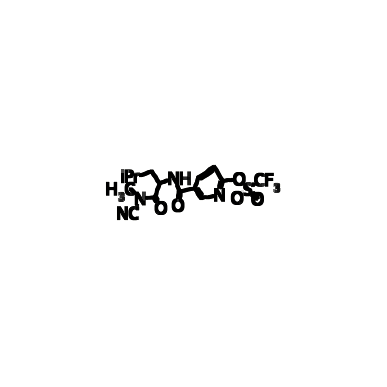 CC(C)CC(NC(=O)c1ccc(OS(=O)(=O)C(F)(F)F)nc1)C(=O)N(C)C#N